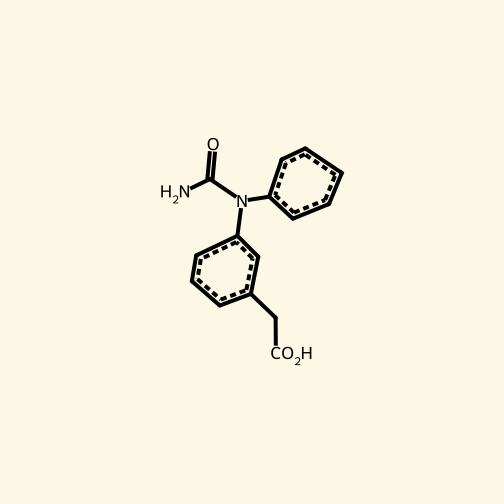 NC(=O)N(c1ccccc1)c1cccc(CC(=O)O)c1